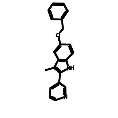 Cc1c(-c2cccnc2)[nH]c2ccc(OCc3ccccc3)cc12